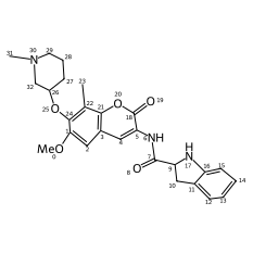 COc1cc2cc(NC(=O)C3Cc4ccccc4N3)c(=O)oc2c(C)c1OC1CCCN(C)C1